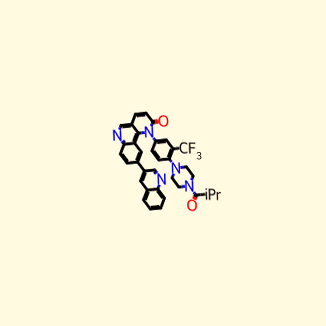 CC(C)C(=O)N1CCN(c2ccc(-n3c(=O)ccc4cnc5ccc(-c6cnc7ccccc7c6)cc5c43)cc2C(F)(F)F)CC1